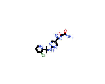 CC(C)(Nc1ncc(-c2noc(C(N)=O)n2)cn1)c1ncccc1Cl